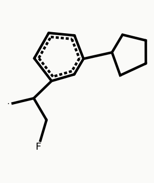 [CH2]C(CF)c1cccc(C2CCCC2)c1